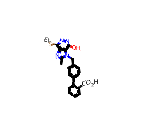 CCSc1nnc(O)c2c1nc(C)n2Cc1ccc(-c2ccccc2C(=O)O)cc1